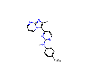 COc1ccc(N(C)c2nccc(-c3c(C)nc4ncccn34)n2)cc1